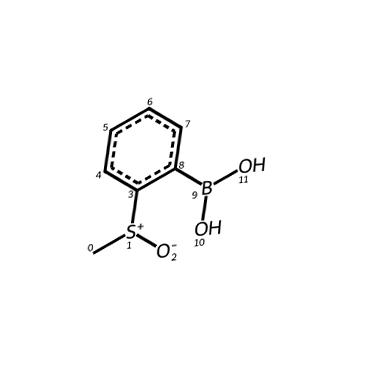 C[S+]([O-])c1ccccc1B(O)O